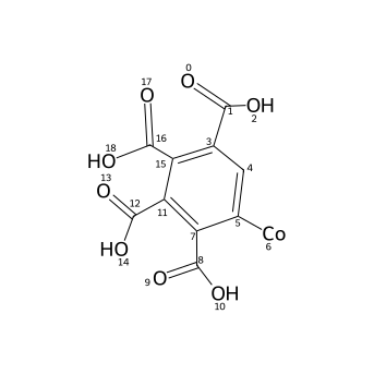 O=C(O)c1c[c]([Co])c(C(=O)O)c(C(=O)O)c1C(=O)O